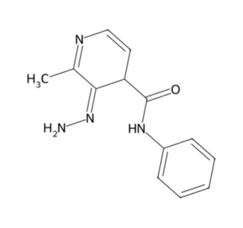 CC1=NC=CC(C(=O)Nc2ccccc2)C1=NN